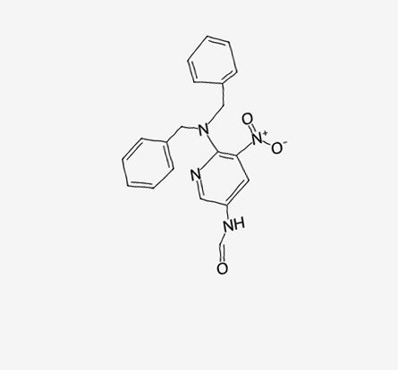 O=CNc1cnc(N(Cc2ccccc2)Cc2ccccc2)c([N+](=O)[O-])c1